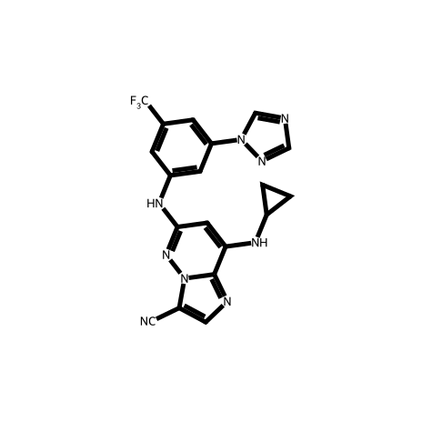 N#Cc1cnc2c(NC3CC3)cc(Nc3cc(-n4cncn4)cc(C(F)(F)F)c3)nn12